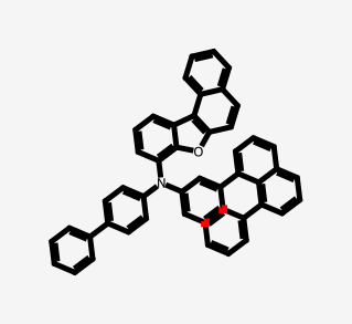 c1ccc(-c2ccc(N(c3cccc(-c4cccc5cccc(-c6ccccc6)c45)c3)c3cccc4c3oc3ccc5ccccc5c34)cc2)cc1